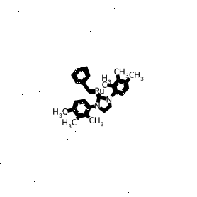 Cc1ccc(N2CCN(c3ccc(C)c(C)c3C)[C]2=[Ru]=[CH]c2ccccc2)c(C)c1C